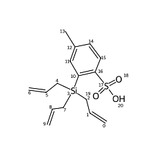 C=CC[Si](CC=C)(CC=C)c1cc(C)ccc1S(=O)(=O)O